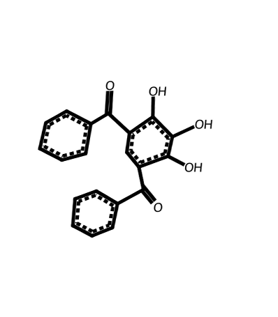 O=C(c1ccccc1)c1cc(C(=O)c2ccccc2)c(O)c(O)c1O